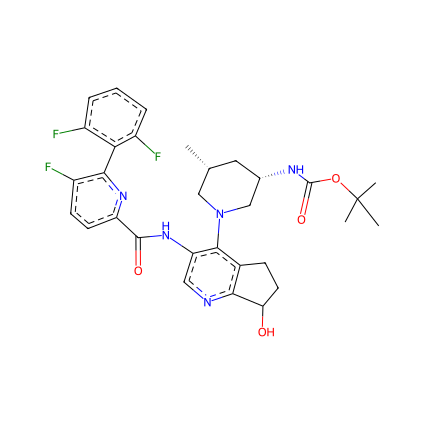 C[C@@H]1C[C@H](NC(=O)OC(C)(C)C)CN(c2c(NC(=O)c3ccc(F)c(-c4c(F)cccc4F)n3)cnc3c2CCC3O)C1